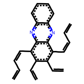 C=C/C=C\c1c(C=C)c(C=C)c(/C=C\C=C)c2nc3ccccc3nc12